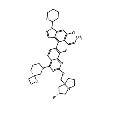 C/C=C\c1c(Cl)cc2c(cnn2C2CCCCO2)c1-c1ccc2c(N3CCC[C@]4(CCO4)C3)nc(OC[C@@]34CCCN3C[C@H](F)C4)nc2c1F